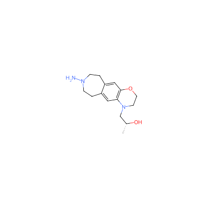 C[C@@H](O)CN1CCOc2cc3c(cc21)CCN(N)CC3